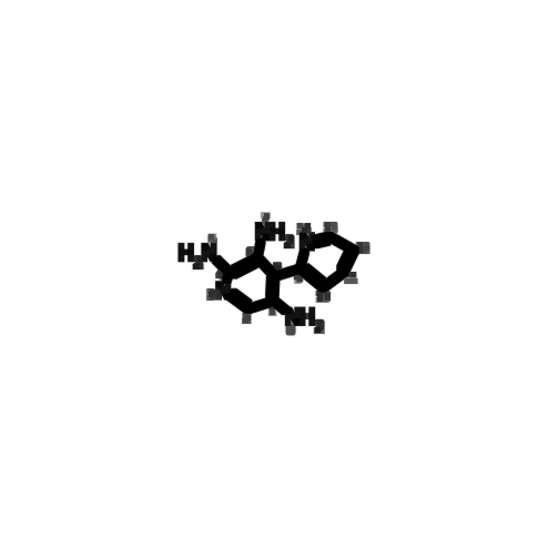 Nc1cnc(N)c(N)c1-c1ccccn1